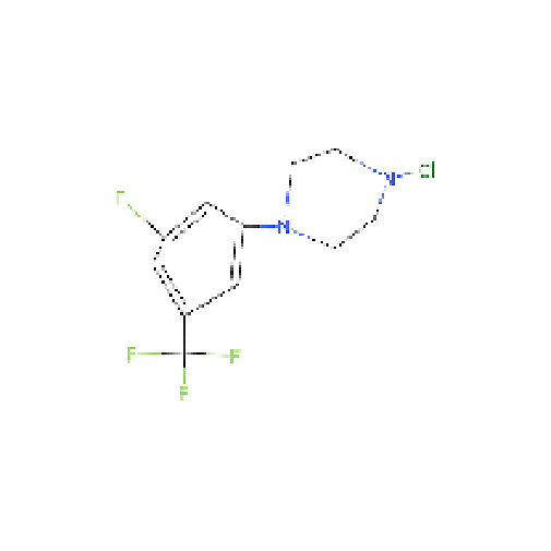 Fc1cc(N2CCN(Cl)CC2)cc(C(F)(F)F)c1